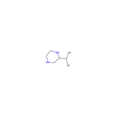 CCC(C(C)C)C1CNCCN1